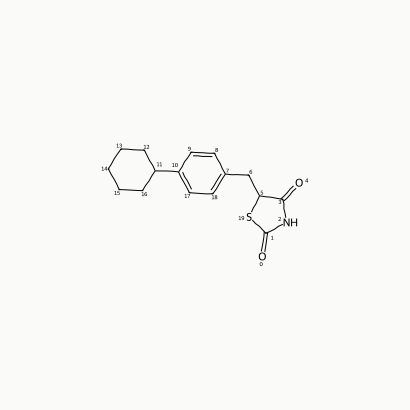 O=C1NC(=O)C(Cc2ccc(C3CCCCC3)cc2)S1